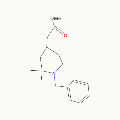 COC(=O)CC1CCN(Cc2ccccc2)C(C)(C)C1